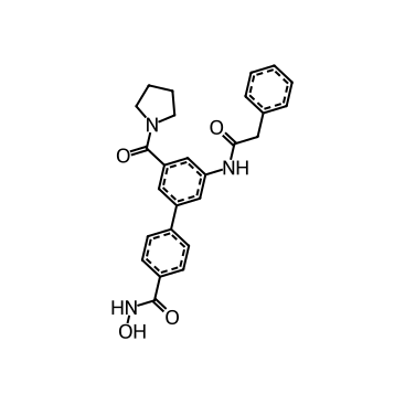 O=C(Cc1ccccc1)Nc1cc(C(=O)N2CCCC2)cc(-c2ccc(C(=O)NO)cc2)c1